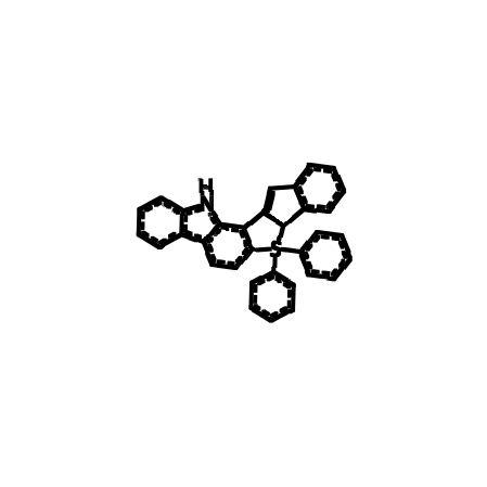 C1=C2c3c(ccc4c3[nH]c3ccccc34)S(c3ccccc3)(c3ccccc3)C2c2ccccc21